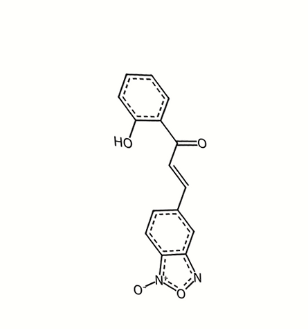 O=C(/C=C/c1ccc2c(c1)no[n+]2[O-])c1ccccc1O